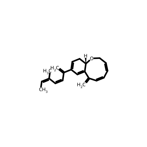 C=C(/C=C\C(C)=C/C)C1=CC[C@@H]2OC/C=C\C=C/C(=C)C2=C1